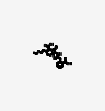 CCO/N=C/C1=C(C(=O)O)N2C(=O)[C@@H](NC(=O)Cc3ccccc3C(=O)O)[C@H]2SC1